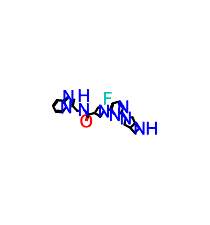 O=C(NCc1cnc2ccccn12)C1CN(c2nc(N3CC4CNC4C3)ncc2F)C1